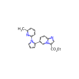 CCOC(=O)c1cnc2ccc(-c3cccn3-c3cccc(C)n3)cn12